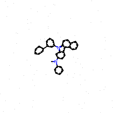 CN(c1ccccc1)c1ccc2c3c4ccccc4ccc3n(-c3cccc(-c4ccccc4)c3)c2c1